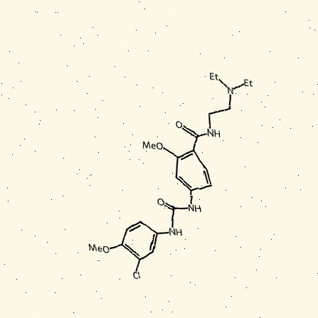 CCN(CC)CCNC(=O)c1ccc(NC(=O)Nc2ccc(OC)c(Cl)c2)cc1OC